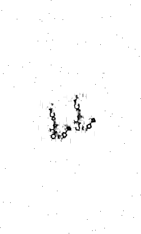 CC(C)C(C(=O)N1C[C@H](O)C[C@H]1C(=O)N[C@@H](C)c1ccc(-c2ccnn2C)cc1)c1cc(N2CC3(CCN(C(=O)OC(C)(C)C)CC3)C2)no1.CC(C)C(C(=O)N1C[C@H](O)C[C@H]1C(=O)N[C@@H](C)c1ccc(-c2ccnn2C)cc1)c1cc(N2CC3(CCN(C(=O)OC(C)(C)C)CC3)C2)no1